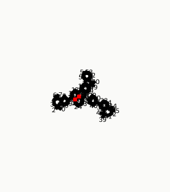 CC1(C)CCC(C)(C)c2cc(-c3ccc(-c4cc5c(cc4N(c4ccccc4)c4ccc(-c6ccc7c(c6)C(C)(C)CCC7(C)C)cc4)C(C)(C)c4ccccc4-5)cc3)ccc21